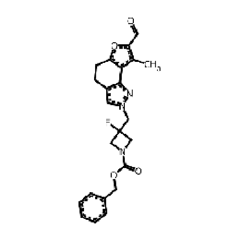 Cc1c(C=O)oc2c1-c1nn(CC3(F)CN(C(=O)OCc4ccccc4)C3)cc1CC2